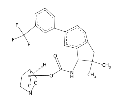 CC1(C)Cc2ccc(-c3cccc(C(F)(F)F)c3)cc2C1NC(=O)O[C@H]1CN2CCC1CC2